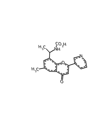 Cc1cc(C(C)NC(=O)O)c2oc(-c3cccnc3)cc(=O)c2c1